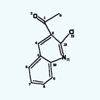 CC(=O)c1cc2ccccc2nc1Cl